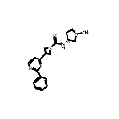 N#CN1CC[C@@H](NC(=O)N2CC(c3ccnc(-c4ccccc4)n3)C2)C1